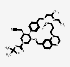 CCOC(C)COCc1ccc([C@H]2[C@H](CC#N)CN(C(=O)OC(C)(C)C)C[C@@H]2OCc2ccc3c(c2)N(CCCOC)CCO3)cc1